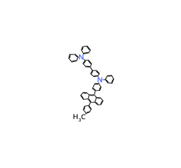 Cc1ccc(-c2c3ccccc3c(-c3ccc(N(c4ccccc4)c4ccc(-c5ccc(N(c6ccccc6)c6ccccc6)cc5)cc4)cc3)c3ccccc23)cc1